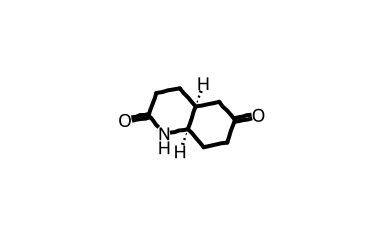 O=C1CC[C@H]2NC(=O)CC[C@H]2C1